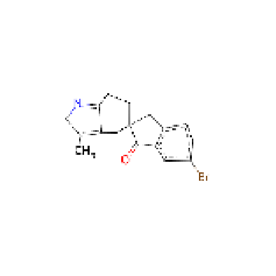 CC1=C2CC3(CCC2=NC1)Cc1ccc(Br)cc1C3=O